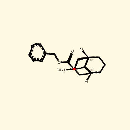 O=C(NC1[C@@H]2CCC[C@H]1CC(C(=O)O)C2)OCc1ccccc1